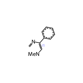 C=N/C(=C\NC)c1ccccc1